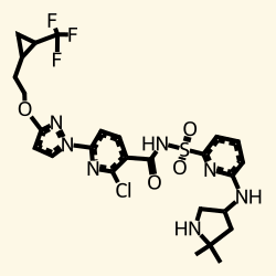 CC1(C)CC(Nc2cccc(S(=O)(=O)NC(=O)c3ccc(-n4ccc(OCCC5CC5C(F)(F)F)n4)nc3Cl)n2)CN1